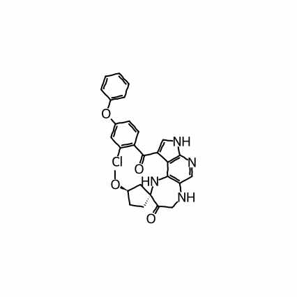 CO[C@@H]1CC[C@]2(C1)Nc1c(cnc3[nH]cc(C(=O)c4ccc(Oc5ccccc5)cc4Cl)c13)NCC2=O